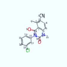 Cc1c(C#N)ccc2c1c(=O)n(-c1cccc(Cl)c1)c(=O)n2C